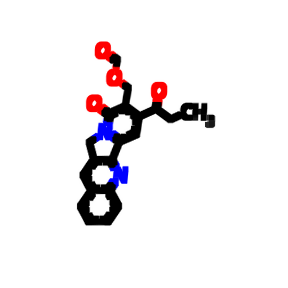 CCC(=O)c1cc2n(c(=O)c1COC=O)Cc1cc3ccccc3nc1-2